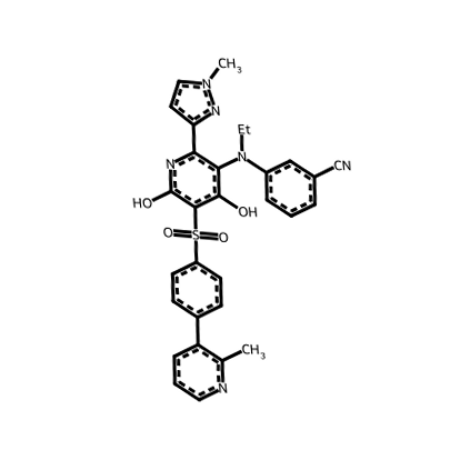 CCN(c1cccc(C#N)c1)c1c(-c2ccn(C)n2)nc(O)c(S(=O)(=O)c2ccc(-c3cccnc3C)cc2)c1O